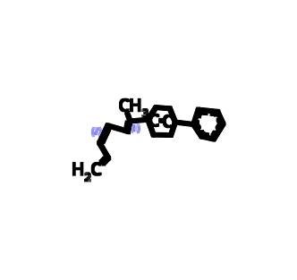 C=C/C=C\C=C(/C)C12CCC(c3ccccc3)(CC1)CC2